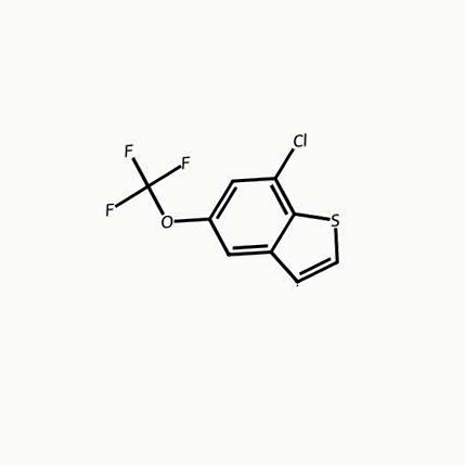 FC(F)(F)Oc1cc(Cl)c2sc[c]c2c1